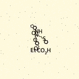 CCOC(Cc1ccc(OCCN(CCCCSc2ccccc2)C(=O)Nc2ccc3c(c2)CCC3)cc1)C(=O)O